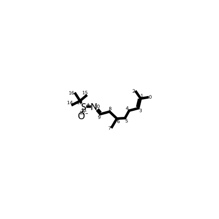 CC(C)=CCCC(C)CC=N[S@+]([O-])C(C)(C)C